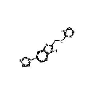 c1c[nH]c(OCc2nc3cc(-n4ccnc4)ccc3[nH]2)c1